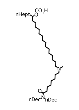 CCCCCCCCCCN(CCCCCCCCCC)C(=O)CCCCCCCN(C)CCCCCCCCCCCCCCCC(CCCCCCC)OC(=O)O